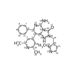 Cc1cc(-c2c(-c3ccccc3)nc(N)[n+]3c(=O)n(Cc4ccnn4C)[nH]c23)cc(C)n1